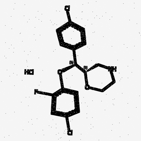 Cl.Fc1cc(Cl)ccc1O[C@@H](c1ccc(Cl)cc1)[C@@H]1CNCCO1